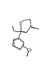 CCC1(c2cccc(OC)c2)CN(C)CCS1